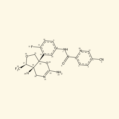 N#Cc1ccc(C(=O)Nc2ccc(F)c([C@]34CO[C@H](C(F)(F)F)[C@H]3CN=C(N)O4)c2)nc1